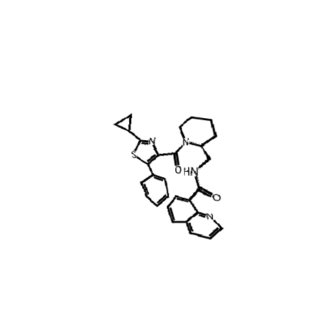 O=C(NC[C@@H]1CCCCN1C(=O)c1nc(C2CC2)sc1-c1ccccc1)c1cccc2cccnc12